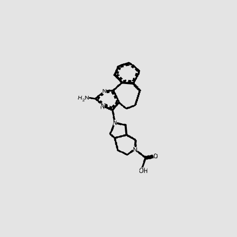 Nc1nc2c(c(N3CC4CCN(C(=O)O)CC4C3)n1)CCCc1ccccc1-2